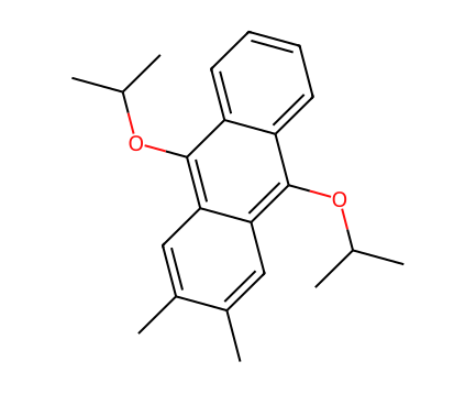 Cc1cc2c(OC(C)C)c3ccccc3c(OC(C)C)c2cc1C